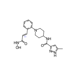 Cc1cc(C(=O)NC2CCN(c3ccccc3/C=C/C(=O)NO)CC2)n[nH]1